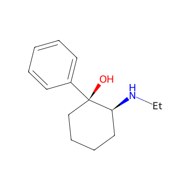 CCN[C@H]1CCCC[C@]1(O)c1ccccc1